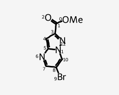 COC(=O)c1cc2ncc(Br)cn2n1